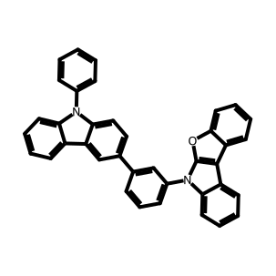 c1ccc(-n2c3ccccc3c3cc(-c4cccc(-n5c6ccccc6c6c7ccccc7oc65)c4)ccc32)cc1